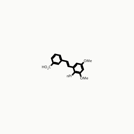 CCCc1c(C=Cc2cccc(C(=O)O)c2)cc(OC)cc1OC